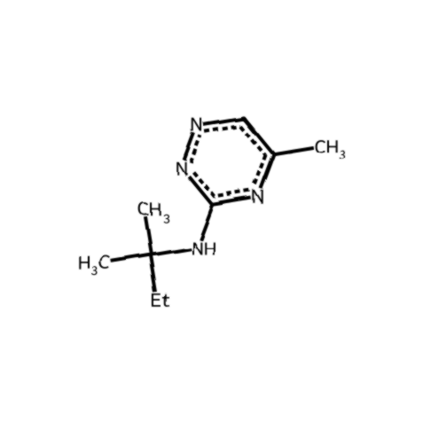 CCC(C)(C)Nc1nncc(C)n1